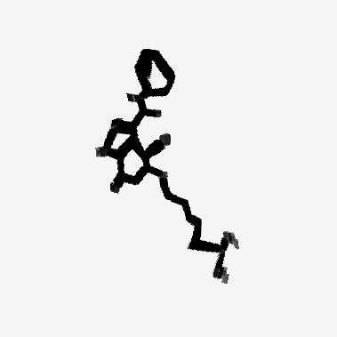 CN(C)CCCCCSC1=CC(=O)c2[nH]nc(C(=O)Nc3ccccc3)c2C1=O